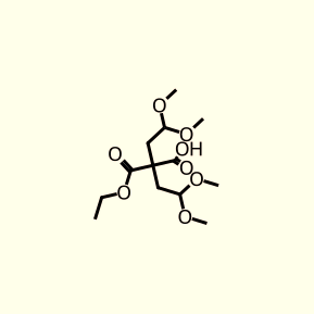 CCOC(=O)C(CC(OC)OC)(CC(OC)OC)C(=O)O